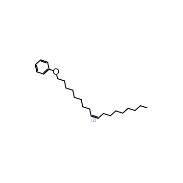 CCCCCCCC/C=C\CCCCCCCCOc1ccccc1